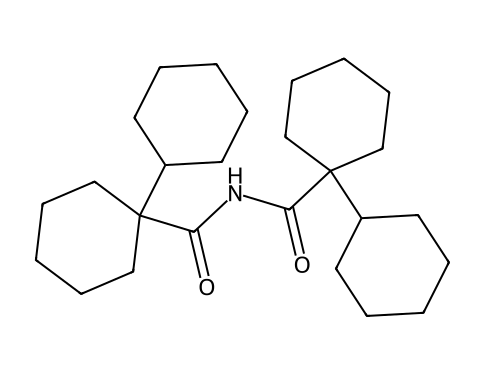 O=C(NC(=O)C1(C2CCCCC2)CCCCC1)C1(C2CCCCC2)CCCCC1